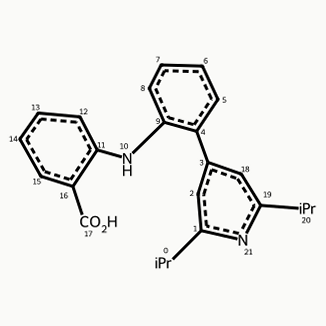 CC(C)c1cc(-c2ccccc2Nc2ccccc2C(=O)O)cc(C(C)C)n1